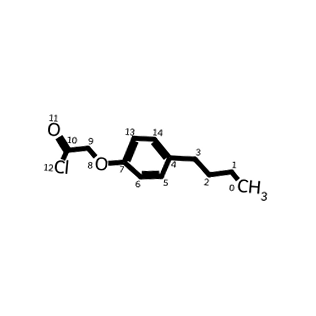 CCCCc1ccc(OCC(=O)Cl)cc1